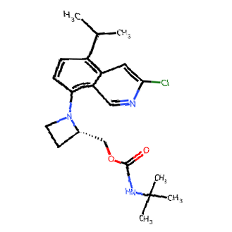 CC(C)c1ccc(N2CC[C@H]2COC(=O)NC(C)(C)C)c2cnc(Cl)cc12